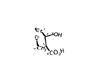 C[O].[CH2]CC(O)CC(=O)O